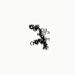 CC(CNC(=O)C(=O)NC1CCCCC1)CNC(=O)c1ccc(Nc2nc(NC3(c4ccc(Cl)cc4)CC3)nc(OCC(F)(F)F)n2)cc1